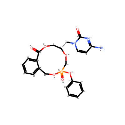 Nc1ccn(C[C@H]2COC(=O)c3ccccc3COP(=O)(Oc3ccccc3)CO2)c(=O)n1